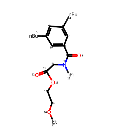 CCCCc1cc(CCCC)cc(C(=O)N(CC(=O)OCCOCC)C(C)C)c1